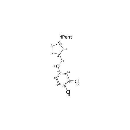 CCCCCN1CCC(COc2ccc(Cl)c(Cl)c2)C1